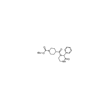 CC(C)(C)OC(=O)N1CCC(C(=O)N2CCNC(=O)C2c2ccccc2)CC1